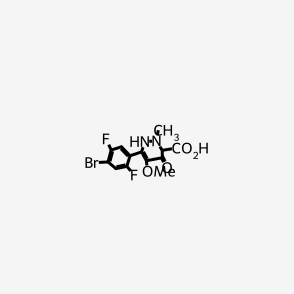 COC1=C(c2cc(F)c(Br)cc2F)NN(C)C(C(=O)O)C1=O